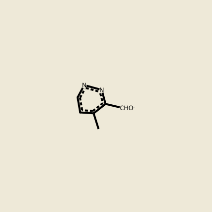 Cc1ccnnc1[C]=O